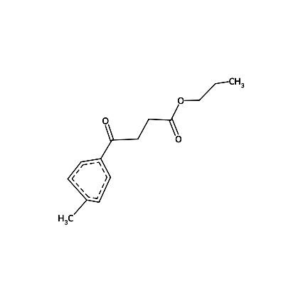 CCCOC(=O)CCC(=O)c1ccc(C)cc1